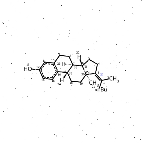 CCCC/C(C)=C1/CC[C@H]2[C@@H]3CCc4cc(O)ccc4[C@H]3CC[C@]12C